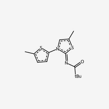 Cc1ccc(-n2cc(C)sc2=NC(=O)C(C)(C)C)s1